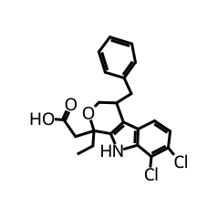 CCC1(CC(=O)O)OCC(Cc2ccccc2)c2c1[nH]c1c(Cl)c(Cl)ccc21